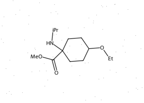 CCOC1CCC(NC(C)C)(C(=O)OC)CC1